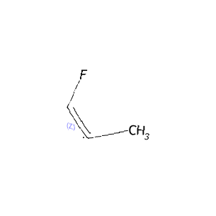 C/[C]=C\F